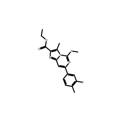 CCOC(=O)c1nc2cc(-c3ccc(C)c(F)c3)nc(SC)n2c1C